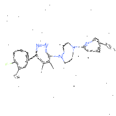 Cc1c(-c2ccc(F)c(C#N)c2)nnc(N2CCN(c3ccc(C(F)(F)F)cn3)CC2)c1C